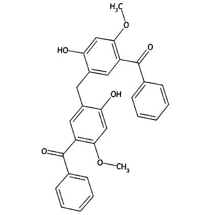 COc1cc(O)c(Cc2cc(C(=O)c3ccccc3)c(OC)cc2O)cc1C(=O)c1ccccc1